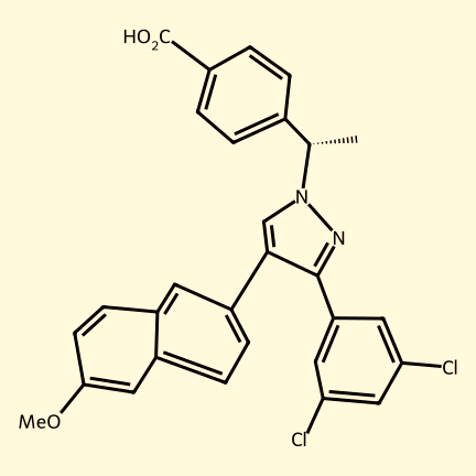 COc1ccc2cc(-c3cn([C@@H](C)c4ccc(C(=O)O)cc4)nc3-c3cc(Cl)cc(Cl)c3)ccc2c1